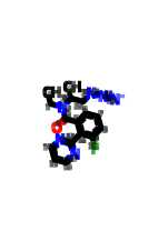 CCN(C(=O)c1cccc(F)c1-c1ncccn1)[C@@H](C)CN=[N+]=[N-]